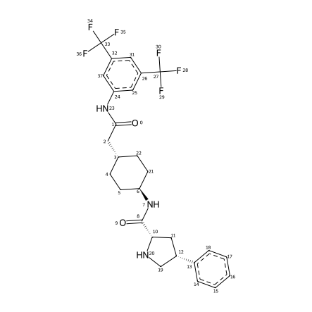 O=C(C[C@H]1CC[C@H](NC(=O)[C@@H]2C[C@H](c3ccccc3)CN2)CC1)Nc1cc(C(F)(F)F)cc(C(F)(F)F)c1